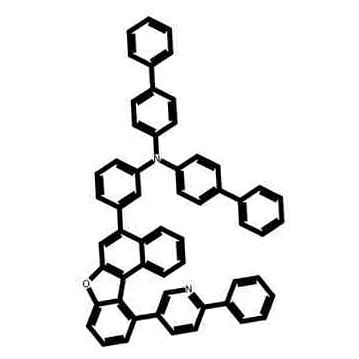 c1ccc(-c2ccc(N(c3ccc(-c4ccccc4)cc3)c3cccc(-c4cc5oc6cccc(-c7ccc(-c8ccccc8)nc7)c6c5c5ccccc45)c3)cc2)cc1